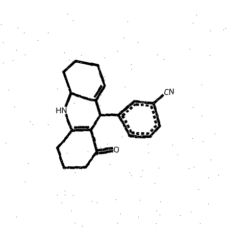 N#Cc1cccc(C2C3=CCCCC3NC3=C2C(=O)CCC3)c1